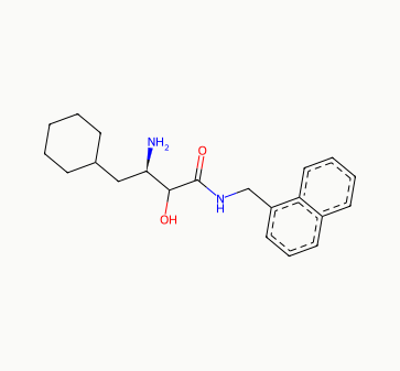 N[C@H](CC1CCCCC1)C(O)C(=O)NCc1cccc2ccccc12